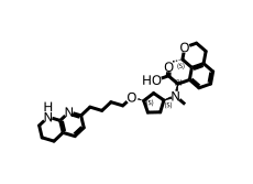 C[C@@H]1OCCc2cccc([C@H](C(=O)O)N(C)[C@H]3CC[C@H](OCCCCc4ccc5c(n4)NCCC5)C3)c21